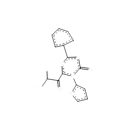 CCCCC(CC)C(=N)c1nc(-c2ccccc2)nc(=N)n1-c1ccc[nH]1